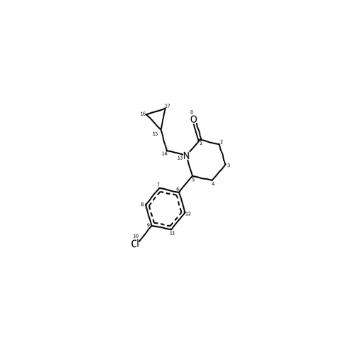 O=C1CCCC(c2ccc(Cl)cc2)N1CC1CC1